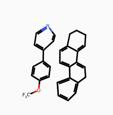 C1=c2c(ccc3c2=CCc2ccccc2-3)CCC1.FC(F)(F)Oc1ccc(-c2ccncc2)cc1